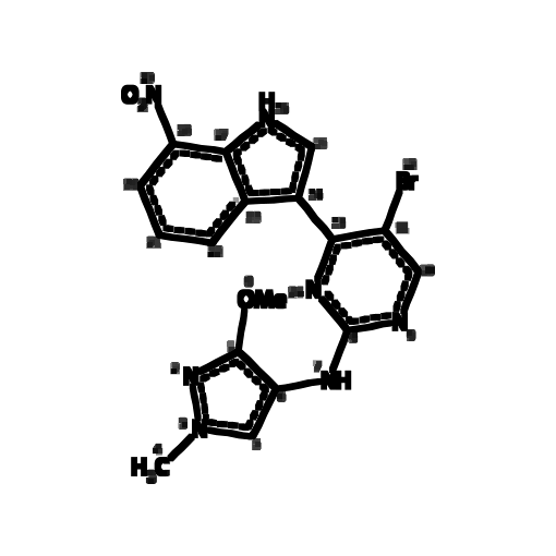 COc1nn(C)cc1Nc1ncc(Br)c(-c2c[nH]c3c([N+](=O)[O-])cccc23)n1